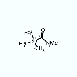 CC[CH2][Sn]([CH3])([CH3])[C](=O)NC